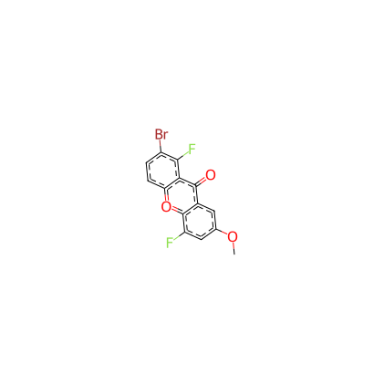 COc1cc(F)c2oc3ccc(Br)c(F)c3c(=O)c2c1